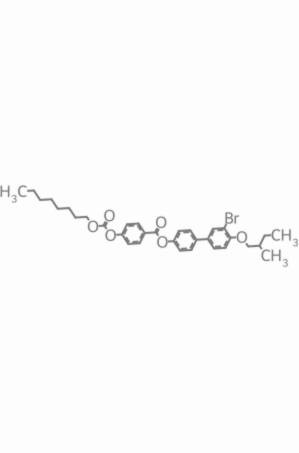 CCCCCCCCOC(=O)Oc1ccc(C(=O)Oc2ccc(-c3ccc(OCC(C)CC)c(Br)c3)cc2)cc1